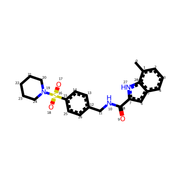 Cc1cccc2cc(C(=O)NCc3ccc(S(=O)(=O)N4CCCCC4)cc3)[nH]c12